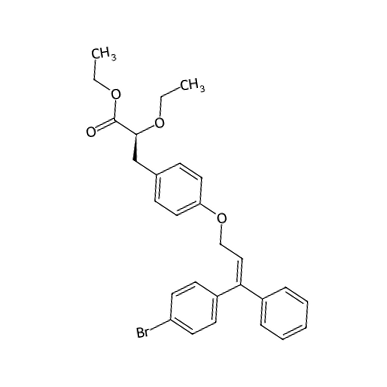 CCOC(=O)[C@H](Cc1ccc(OC/C=C(/c2ccccc2)c2ccc(Br)cc2)cc1)OCC